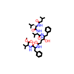 COC(=O)[C@@H](NC(=O)C(Cc1ccccc1)NC(=O)CCC(O)C(Cc1ccccc1)NC(=O)[C@@H](NC(=O)[C@H](CC(C)C)NC(=O)CC(C)C)C(C)C)C(C)C